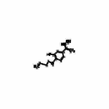 C=C(NO)c1ccc(OCCCC)c(F)c1